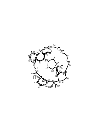 C[C@H]1Nc2ncnc3c2cc(N2CCS(=O)(=O)CC2)c(=O)n3CCCCCCCCN2CCC(CC2)C(F)(F)c2cccc1c2